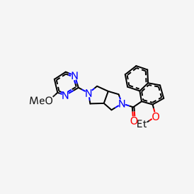 CCOc1ccc2ccccc2c1C(=O)N1CC2CN(c3nccc(OC)n3)CC2C1